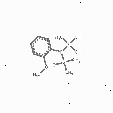 COc1ccccc1P([Si](C)(C)C)[Si](C)(C)C